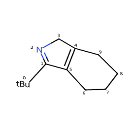 CC(C)(C)C1=NCC2=C1CCCC2